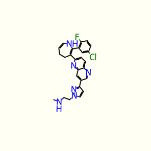 CNCCn1ccc(-c2cnc3ccc(C4=C(c5cc(Cl)ccc5F)NC=CCC4)nc3c2)n1